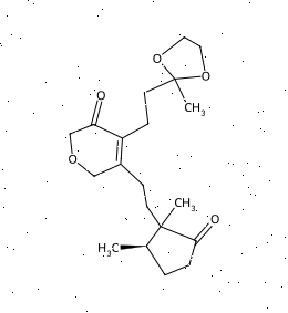 C[C@@H]1CCC(=O)C1(C)CCC1=C(CCC2(C)OCCO2)C(=O)COC1